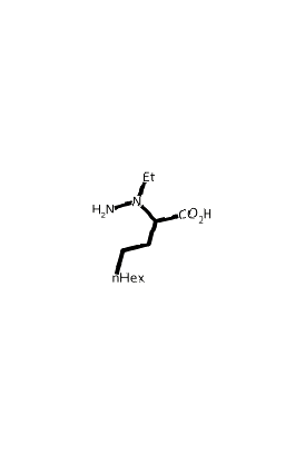 CCCCCCCCC(C(=O)O)N(N)CC